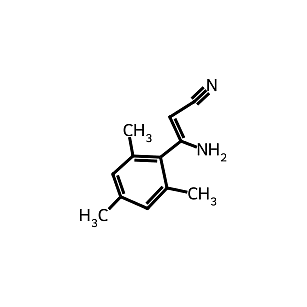 Cc1cc(C)c(/C(N)=C/C#N)c(C)c1